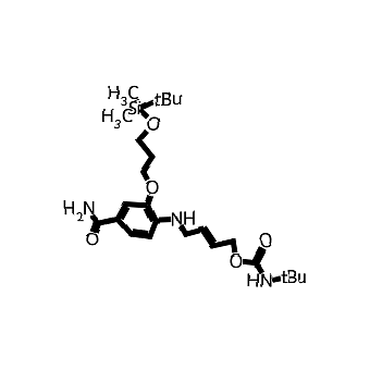 CC(C)(C)NC(=O)OC/C=C/CNc1ccc(C(N)=O)cc1OCCCO[Si](C)(C)C(C)(C)C